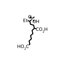 CCC(CCC(CCCCCCC(=O)O)C(=O)O)P(C)(=O)O